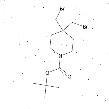 CC(C)(C)OC(=O)N1CCC(CBr)(CBr)CC1